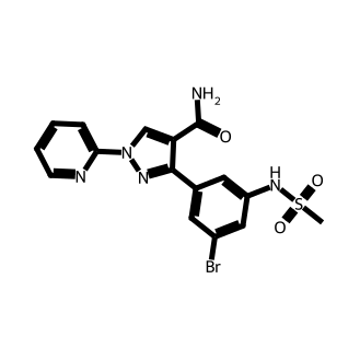 CS(=O)(=O)Nc1cc(Br)cc(-c2nn(-c3ccccn3)cc2C(N)=O)c1